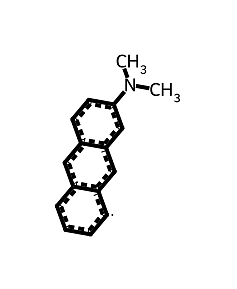 CN(C)c1ccc2cc3ccc[c]c3cc2c1